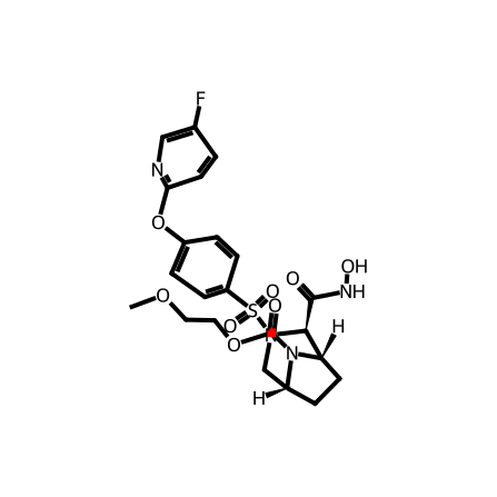 COCCOC(=O)N1[C@@H]2CC[C@H]1[C@H](C(=O)NO)N(S(=O)(=O)c1ccc(Oc3ccc(F)cn3)cc1)C2